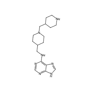 c1nc(NCC2CCN(CC3CCNCC3)CC2)c2nc[nH]c2n1